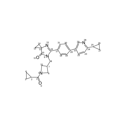 O=C(C1CC1)N1CC(CN2C(=O)C3(CC3)N=C2c2ccc(-c3ccc(C4CC4)nc3)cc2)C1